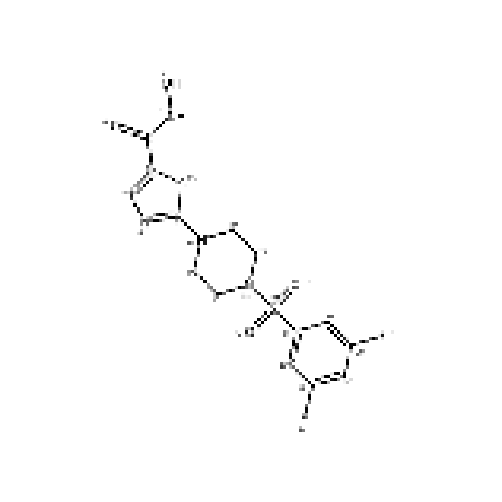 O=C(NO)c1cnc(N2CCN(S(=O)(=O)c3cc(F)cc(F)c3)CC2)s1